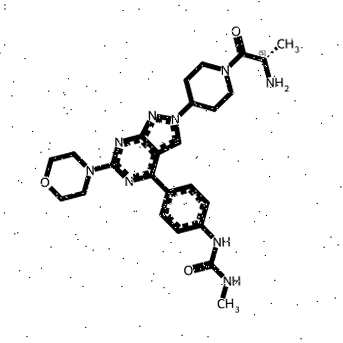 CNC(=O)Nc1ccc(-c2nc(N3CCOCC3)nc3nn(C4CCN(C(=O)[C@H](C)N)CC4)cc23)cc1